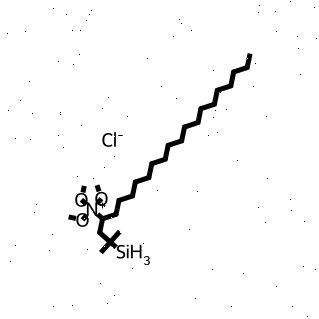 CCCCCCCCCCCCCCCCCCC(CC(C)(C)[SiH3])[N+](OC)(OC)OC.[Cl-]